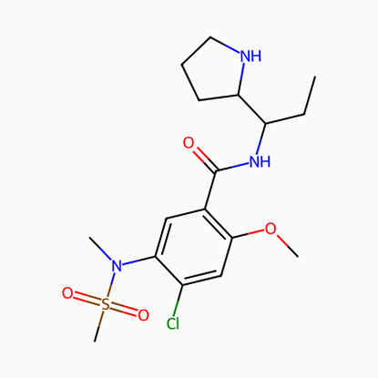 CCC(NC(=O)c1cc(N(C)S(C)(=O)=O)c(Cl)cc1OC)C1CCCN1